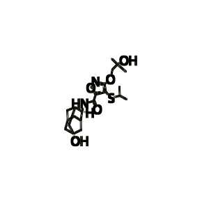 CC(C)Sc1c(OCC(C)(C)O)noc1C(=O)N[C@H]1C2CC3CC1C[C@](O)(C3)C2